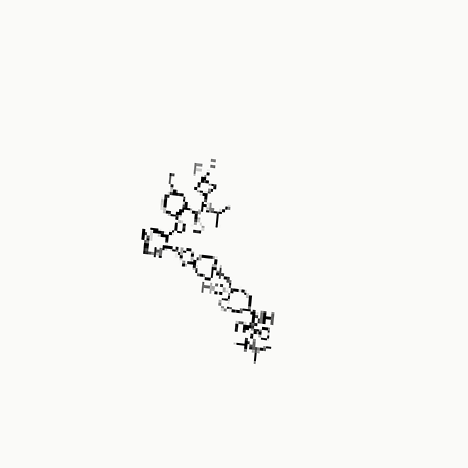 CC(C)N(C(=O)c1cc(F)ccc1Oc1cncnc1N1CC2(CCN(C[C@@]3(O)CC[C@@H](NS(=O)(=O)N(C)C(C)C)CO3)CC2)C1)C1CC(F)(F)C1